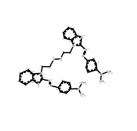 CN(C)c1ccc(/N=N/c2sc3ccccc3[n+]2CCSSCC[n+]2c(/N=N/c3ccc(N(C)C)cc3)sc3ccccc32)cc1